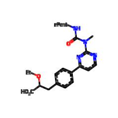 CCCCCNC(=O)N(C)c1nccc(-c2ccc(CC(OCC)C(=O)O)cc2)n1